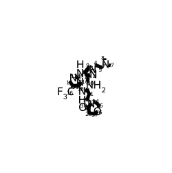 Cc1nn(CCN(C)C)cc1Nc1ncc(C(F)(F)F)c(NC(N)CCN2CCOCCC2=O)n1